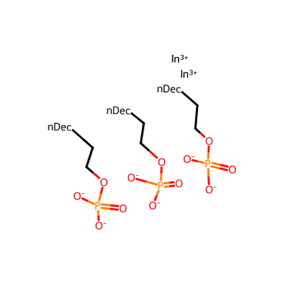 CCCCCCCCCCCCOP(=O)([O-])[O-].CCCCCCCCCCCCOP(=O)([O-])[O-].CCCCCCCCCCCCOP(=O)([O-])[O-].[In+3].[In+3]